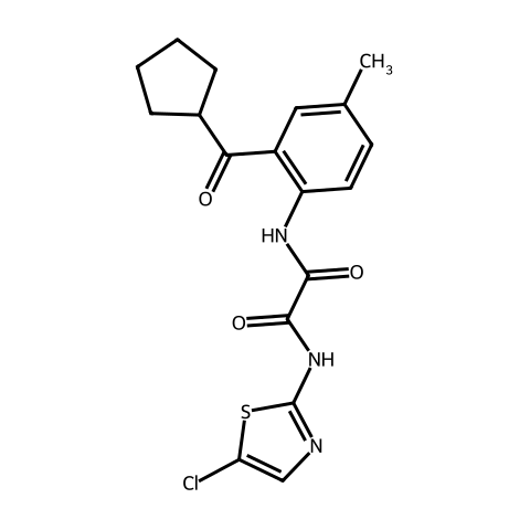 Cc1ccc(NC(=O)C(=O)Nc2ncc(Cl)s2)c(C(=O)C2CCCC2)c1